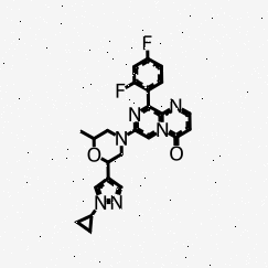 CC1CN(c2cn3c(=O)ccnc3c(-c3ccc(F)cc3F)n2)CC(c2cnn(C3CC3)c2)O1